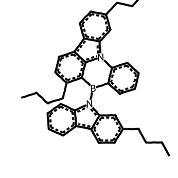 CCCCc1ccc2c3ccccc3n(B3c4ccccc4-n4c5cc(CCCC)ccc5c5ccc(CCCC)c3c54)c2c1